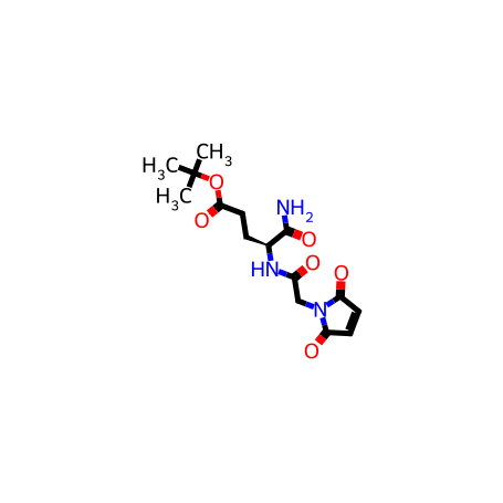 CC(C)(C)OC(=O)CC[C@H](NC(=O)CN1C(=O)C=CC1=O)C(N)=O